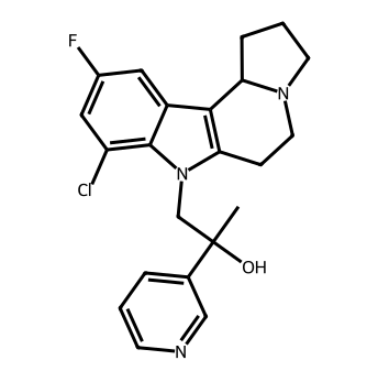 CC(O)(Cn1c2c(c3cc(F)cc(Cl)c31)C1CCCN1CC2)c1cccnc1